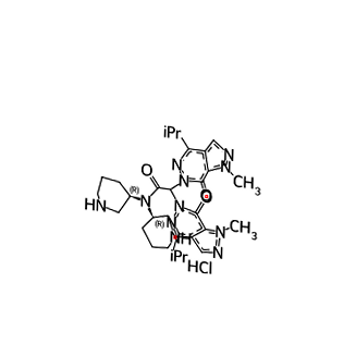 CC(C)c1nn(C(C(=O)N([C@@H]2CCCNC2)[C@@H]2CCCNC2)n2nc(C(C)C)c3cnn(C)c3c2=O)c(=O)c2c1cnn2C.Cl